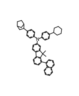 CC1(C)c2cc(N(c3ccc(C4CCCCC4)cc3)c3ccc(C4CC5CCC4C5)cc3)ccc2-c2cccc(-c3cccc4ccccc34)c21